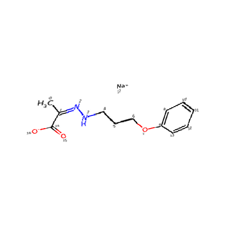 CC(=NNCCCOc1ccccc1)C(=O)[O-].[Na+]